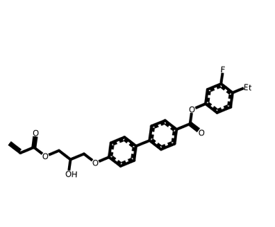 C=CC(=O)OCC(O)COc1ccc(-c2ccc(C(=O)Oc3ccc(CC)c(F)c3)cc2)cc1